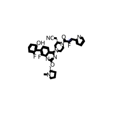 CN1CCC[C@H]1COc1nc(N2CCN(C(=O)/C(F)=C/c3ccccn3)[C@@H](CC#N)C2)c2ccc(-c3c(O)cccc3F)c(F)c2n1